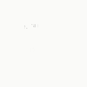 OC1=c2cc3ccccc3cc2=CC=C2NN=CC=C21